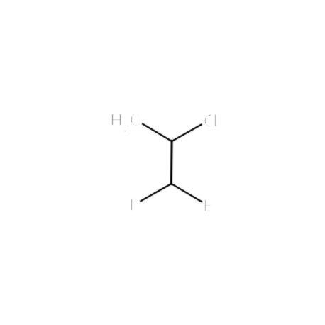 [CH2]C(Cl)C(F)F